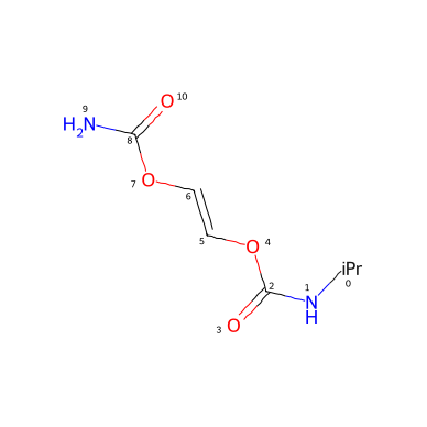 CC(C)NC(=O)OC=COC(N)=O